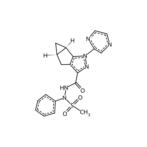 CS(=O)(=O)N(NC(=O)c1nn(-c2cnccn2)c2c1C[C@H]1C[C@@H]21)c1ccccc1